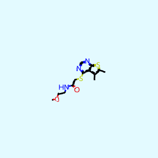 COCCNC(=O)CSc1ncnc2sc(C)c(C)c12